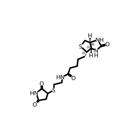 O=C(CCCC[C@@H]1SC[C@@H]2NC(=O)N[C@@H]21)NCCSC1CC(=O)NC1=O